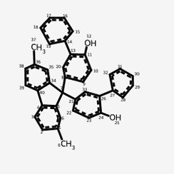 Cc1ccc2c(c1)C(c1ccc(O)c(-c3ccccc3)c1)(c1ccc(O)c(-c3ccccc3)c1)c1cc(C)ccc1-2